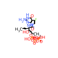 CC#CC1(N)[C@@H](O)[C@@H]([C@H](C)OP(=O)(O)OP(=O)(O)OP(=O)(O)O)O[C@H]1n1cc(F)c2c(=O)[nH]c(N)nc21